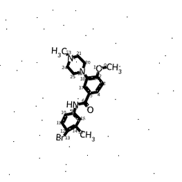 COc1ccc(C(=O)Nc2ccc(Br)c(C)c2)cc1N1CCN(C)CC1